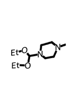 CCOC(OCC)N1CCN(C)CC1